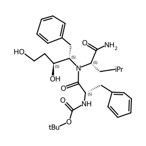 CC(C)C[C@@H](C(N)=O)N(C(=O)[C@H](Cc1ccccc1)NC(=O)OC(C)(C)C)[C@@H](Cc1ccccc1)[C@@H](O)CCO